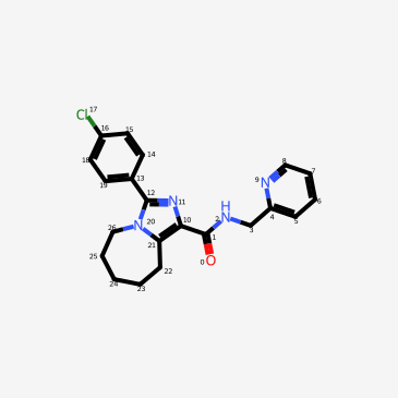 O=C(NCc1ccccn1)c1nc(-c2ccc(Cl)cc2)n2c1CCCCC2